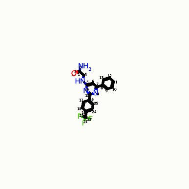 NC(=O)CNc1cc(-c2ccccc2)nc(-c2ccc(C(F)(F)F)cc2)n1